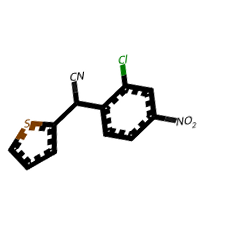 N#CC(c1cccs1)c1ccc([N+](=O)[O-])cc1Cl